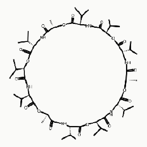 CC(C)[C@@H]1NC(=O)[C@@H](C(C)C)OC(=O)[C@H](C(C)C)NC(=O)[C@H](C)OC(=O)[C@@H](C(C)C)NC(=O)[C@@H](C(C)C)OC(=O)[C@H](C(C)C)NC(=O)[C@H](C)OC(=O)[C@@H](C(C)C)NC(=O)[C@@H](C(C)C)OC(=O)[C@H](C(C)C)NC(=O)[C@H](C)OC1=O